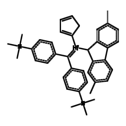 Cc1ccc2c(c1)[CH]([Hf]([C]1=CC=CC1)=[C](c1ccc([Si](C)(C)C)cc1)c1ccc([Si](C)(C)C)cc1)c1cc(C)ccc1-2